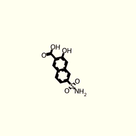 NS(=O)(=O)c1ccc2cc(C(=O)O)c(O)cc2c1